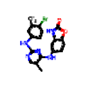 Cc1cnc(Nc2ccc(Br)c(C(F)(F)F)c2)nc1Nc1ccc2oc(=O)[nH]c2c1